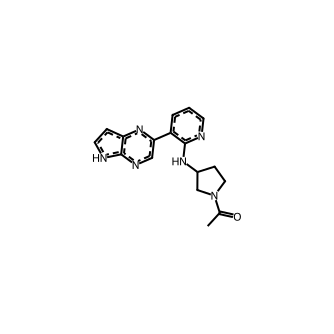 CC(=O)N1CCC(Nc2ncccc2-c2cnc3[nH]ccc3n2)C1